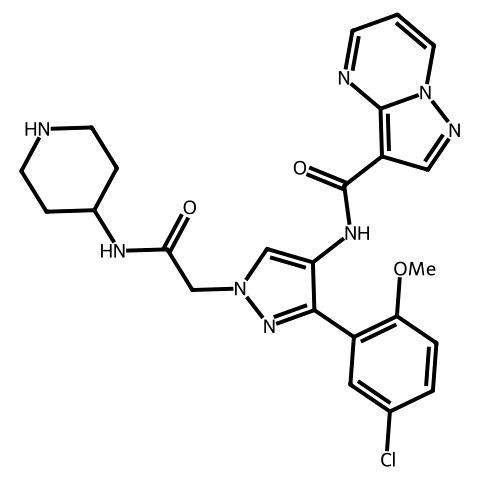 COc1ccc(Cl)cc1-c1nn(CC(=O)NC2CCNCC2)cc1NC(=O)c1cnn2cccnc12